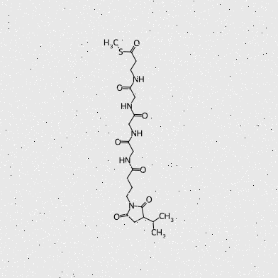 CSC(=O)CCNC(=O)CNC(=O)CNC(=O)CNC(=O)CCCN1C(=O)CC(C(C)C)C1=O